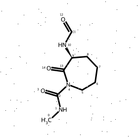 CNC(=O)N1CCCC[C@H](N[C]=O)C1=O